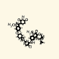 Cn1nc(C2CCC(=O)NC2=O)c2ccc(OC3CCC4(CC3)CN(c3ncc(Cl)c(Nc5ccc6c(c5)c5c(c(=O)n6C)OCC(F)(F)[C@H](C6CC6)N5)n3)C4)cc21